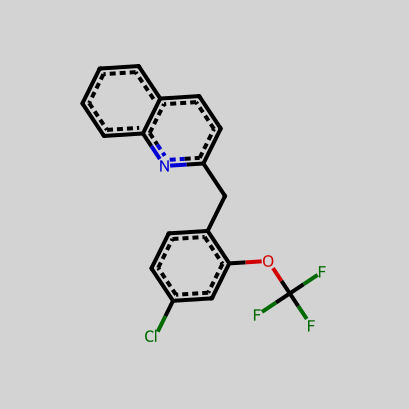 FC(F)(F)Oc1cc(Cl)ccc1Cc1ccc2ccccc2n1